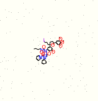 CCCCN(O)C(=O)Nc1cc(C2(CCCI)CCC(c3cc(OC)c(OC)c(OC)c3)O2)cc(OC)c1OCCN(C(=O)N1C=CC=CC1)c1ccccc1